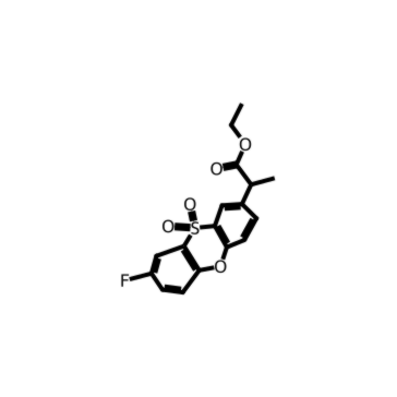 CCOC(=O)C(C)c1ccc2c(c1)S(=O)(=O)c1cc(F)ccc1O2